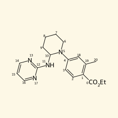 CCOC(=O)c1ccc(N2CCCCC2Nc2ncccn2)cc1C